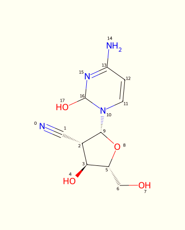 N#C[C@H]1[C@H](O)[C@@H](CO)O[C@H]1N1C=CC(N)=NC1O